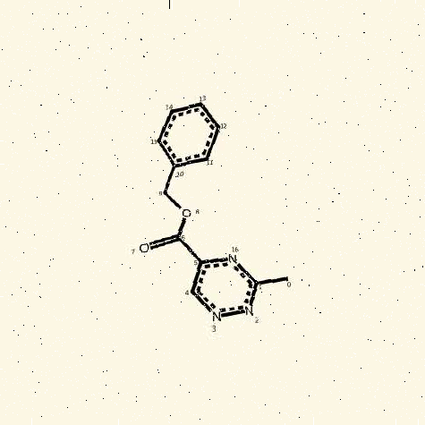 Cc1nncc(C(=O)OCc2ccccc2)n1